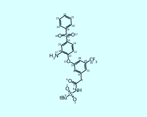 CC(C)(C)S(=O)(=O)NC(=O)Cc1cc(Oc2ccc(S(=O)(=O)c3ccccc3)cc2N)cc(C(F)(F)F)c1